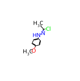 CC/C(Cl)=N\Nc1ccc(OC)cc1